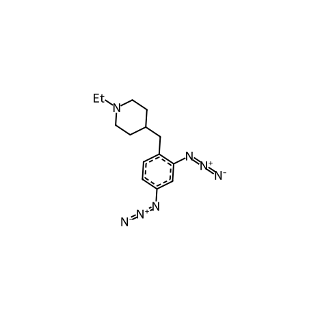 CCN1CCC(Cc2ccc(N=[N+]=[N-])cc2N=[N+]=[N-])CC1